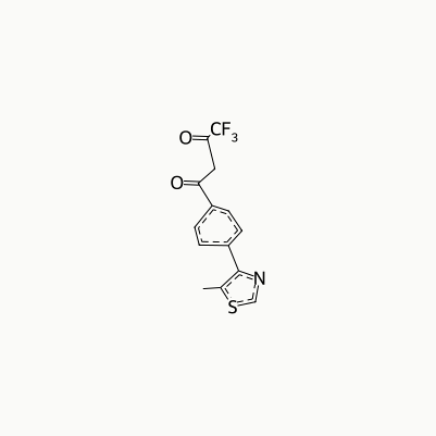 Cc1scnc1-c1ccc(C(=O)CC(=O)C(F)(F)F)cc1